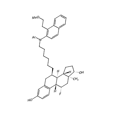 COCCc1c(N(CCCCCC[C@@H]2Cc3cc(O)ccc3[C@@H]3[C@@H]2[C@@H]2CC[C@H](O)[C@@]2(C)C[C@@H]3F)C(C)=O)ccc2ccccc12